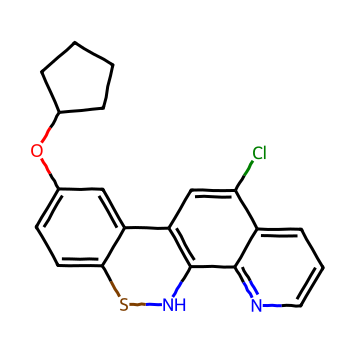 Clc1cc2c(c3ncccc13)NSc1ccc(OC3CCCC3)cc1-2